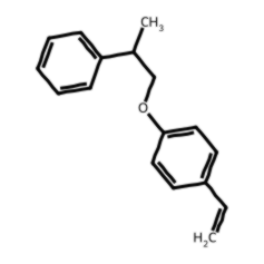 C=Cc1ccc(OCC(C)c2ccccc2)cc1